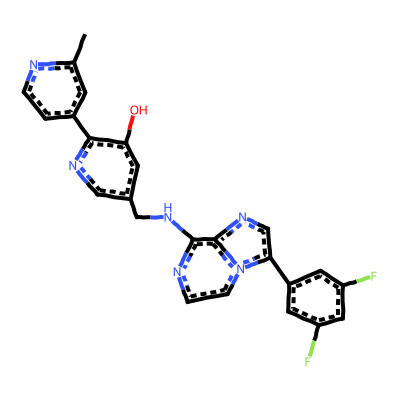 Cc1cc(-c2ncc(CNc3nccn4c(-c5cc(F)cc(F)c5)cnc34)cc2O)ccn1